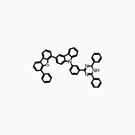 c1ccc(C2=NC(c3cccc(-n4c5ccccc5c5cc(-c6cccc7c6sc6c(-c8ccccc8)cccc67)ccc54)c3)=NC(c3ccccc3)N2)cc1